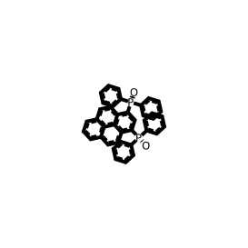 O=P(c1ccccc1)(c1ccccc1)c1cc(P(=O)(c2ccccc2)c2ccccc2)c2ccc3cccc4ccc1c2c43